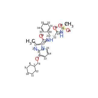 Cc1nc2c(OCC3CCCCC3)cccn2c1C(=O)N[C@@H](CC(=O)NS(C)(=O)=O)c1ccccc1